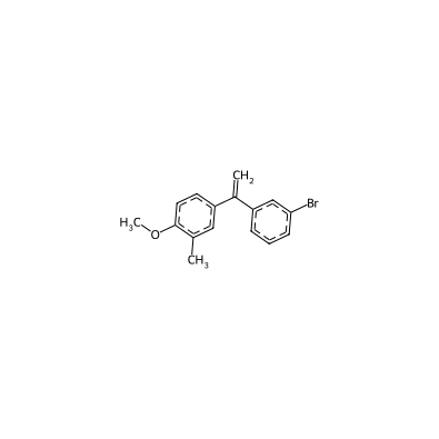 C=C(c1cccc(Br)c1)c1ccc(OC)c(C)c1